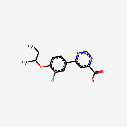 CCC(C)Oc1ccc(-c2cc(C(=O)O)ncn2)cc1Cl